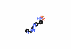 CC(c1ccccn1)n1cc(CN2CCC(c3cccc(NS(C)(=O)=O)c3)CC2)nn1